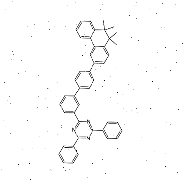 CC1(C)c2ccccc2-c2cc(-c3ccc(-c4cccc(-c5nc(-c6ccccc6)nc(-c6ccccc6)n5)c4)cc3)ccc2C1(C)C